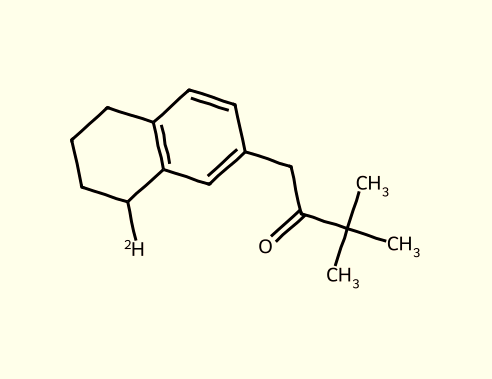 [2H]C1CCCc2ccc(CC(=O)C(C)(C)C)cc21